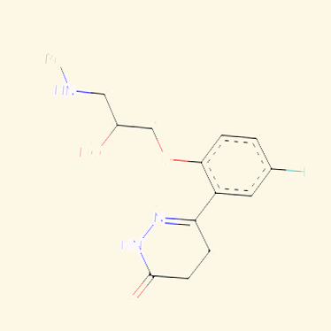 CC(C)(C)NCC(O)COc1ccc(F)cc1C1=NNC(=O)CC1